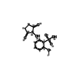 COc1ccccc1S(=O)(=O)O.O=C1CCC(=O)N1O